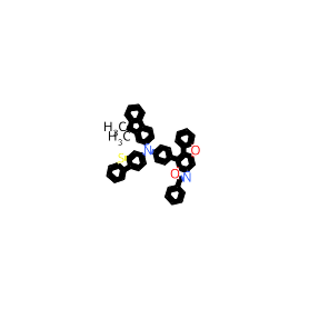 CC1(C)c2ccccc2-c2ccc(N(c3ccc(-c4c5oc(-c6ccccc6)nc5cc5oc6ccccc6c45)cc3)c3ccc4c(c3)sc3ccccc34)cc21